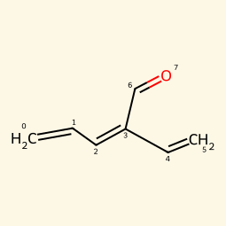 C=CC=C(C=C)C=O